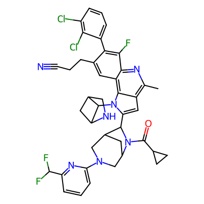 Cc1nc2c(F)c(-c3cccc(Cl)c3Cl)c(CCC#N)cc2c2c1cc(C1C3CC(CN(c4cccc(C(F)F)n4)C3)N1C(=O)C1CC1)n2C1C2CNC1C2